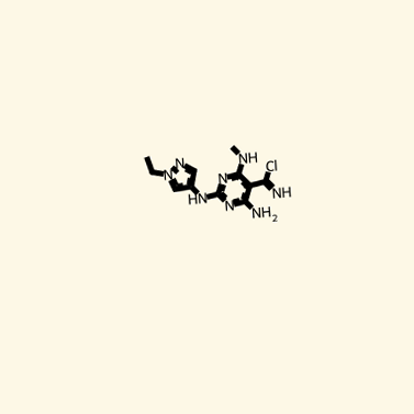 CCn1cc(Nc2nc(N)c(C(=N)Cl)c(NC)n2)cn1